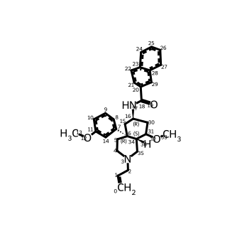 C=CCN1CC[C@@]2(c3cccc(OC)c3)C[C@@H](NC(=O)c3ccc4ccccc4c3)CC(OC)[C@@H]2C1